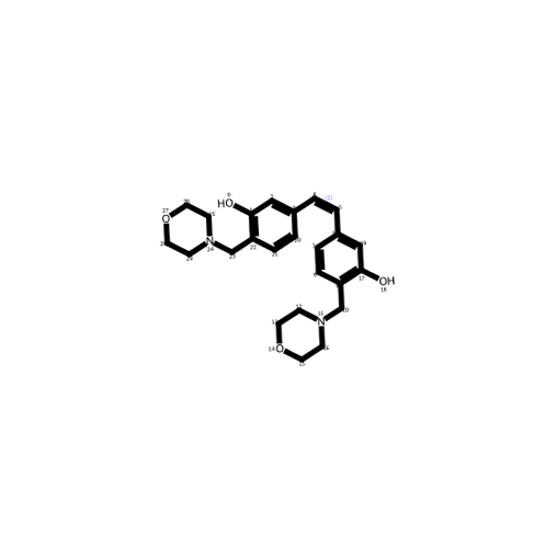 Oc1cc(/C=C\c2ccc(CN3CCOCC3)c(O)c2)ccc1CN1CCOCC1